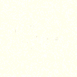 CC(C)[C@H](N)C(=O)O.COP(N)(=O)SC